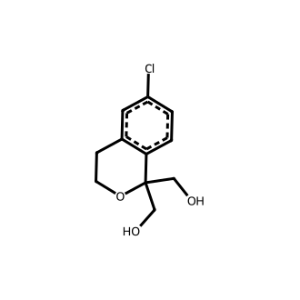 OCC1(CO)OCCc2cc(Cl)ccc21